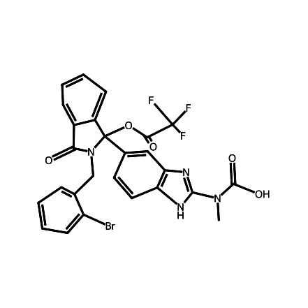 CN(C(=O)O)c1nc2cc(C3(OC(=O)C(F)(F)F)c4ccccc4C(=O)N3Cc3ccccc3Br)ccc2[nH]1